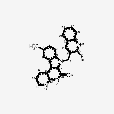 Cc1ccc2c(c1)c1c3cccnc3oc(=O)c1n2Cc1cc2ccccc2nc1F